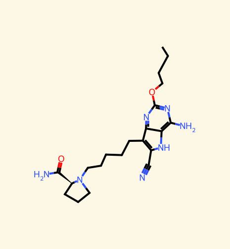 CCCCOc1nc(N)c2[nH]c(C#N)c(CCCCCN3CCC[C@H]3C(N)=O)c2n1